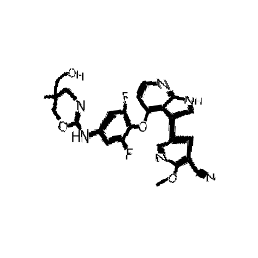 COc1ncc(-c2c[nH]c3nccc(Oc4c(F)cc(NC5=NCC(C)(CO)CO5)cc4F)c23)cc1C#N